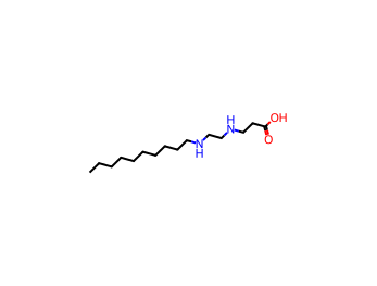 CCCCCCCCCCNCCNCCC(=O)O